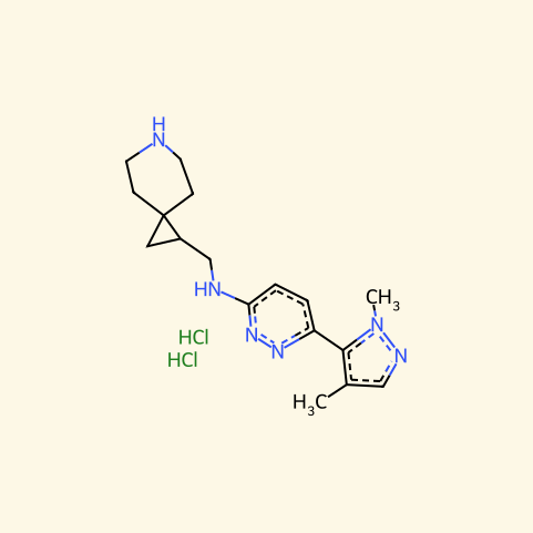 Cc1cnn(C)c1-c1ccc(NCC2CC23CCNCC3)nn1.Cl.Cl